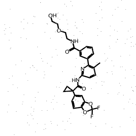 Cc1ccc(NC(=O)C2(c3ccc4c(c3)OC(F)(F)O4)CC2)nc1-c1cccc(C(=O)NCCOCCO)c1